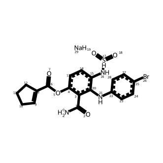 NC(=O)c1c(OC(=O)C2=CCCC2)ccc(N[SH](=O)=O)c1Nc1ccc(Br)cc1.[NaH]